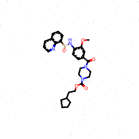 COc1cc(C(=O)N2CCN(C(=O)OCCC3CCCC3)CC2)ccc1N[S+]([O-])c1cccc2cccnc12